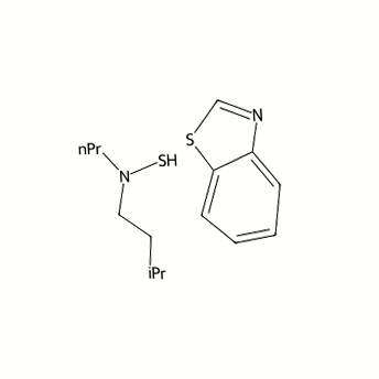 CCCN(S)CCC(C)C.c1ccc2scnc2c1